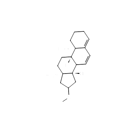 CCSC1C[C@H]2[C@@H]3C=CC4=CCCC[C@]4(C)[C@H]3CC[C@]2(C)[C@H]1CC